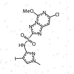 COc1nc(Cl)cc2nc(S(=O)(=O)Nc3nn(C)cc3I)nn12